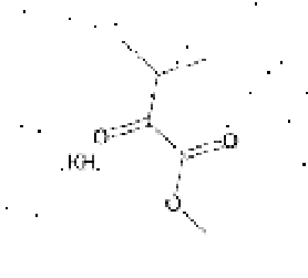 COC(=O)C(=O)C(C)C.[KH]